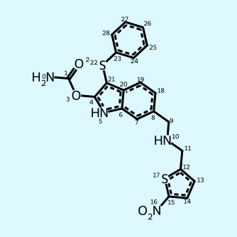 NC(=O)Oc1[nH]c2cc(CNCc3ccc([N+](=O)[O-])s3)ccc2c1Sc1ccccc1